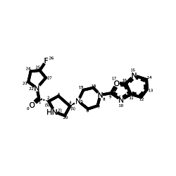 O=C([C@@H]1C[C@H](N2CCN(c3nc4cccnc4o3)CC2)CN1)N1CCC(F)C1